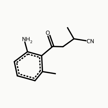 Cc1cccc(N)c1C(=O)CC(C)C#N